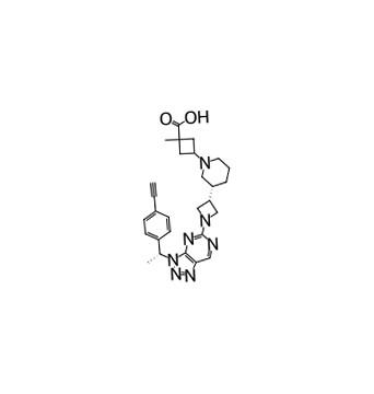 C#Cc1ccc([C@@H](C)n2nnc3cnc(N4CC([C@H]5CCCN(C6CC(C)(C(=O)O)C6)C5)C4)nc32)cc1